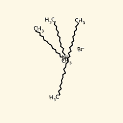 CCCCCCCCCCCCCCC(CCCCCCCCCCCCCC)[N+](C)(CCCCCCCCCCCCCC)CCCCCCCCCCCCCC.[Br-]